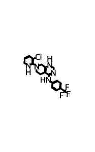 FC(F)(F)c1ccc(NC2=NCNC3=C2CCN(C2=C(Cl)C=CCN2)C3)cc1